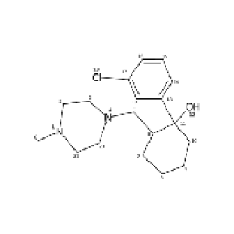 CN1CCN(CC2CCCCC2(O)c2cccc(Cl)c2)CC1